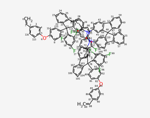 C=Cc1ccc(Oc2ccc(C3(c4c(F)cc(F)cc4F)c4ccccc4-c4ccc(N(c5ccc(C)c(F)c5)c5ccc6c(c5)C5(c7ccccc7-6)c6ccccc6-c6ccc(N(c7ccc(C)c(F)c7)c7ccc8c(c7)C(c7ccc(Oc9ccc(C=C)cc9)cc7)(c7c(F)cc(F)cc7F)c7ccccc7-8)cc65)cc43)cc2)cc1